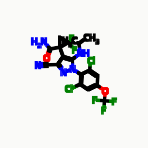 CC(C)Nc1c(C2(C(N)=O)CC2(F)F)c(C#N)nn1-c1c(Cl)cc(OC(F)(F)F)cc1Cl